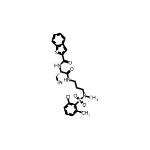 Cc1cccc(Cl)c1S(=O)(=O)N(C)CCCNC(=O)[C@H](CC(C)C)NC(=O)c1cc2ccccc2s1